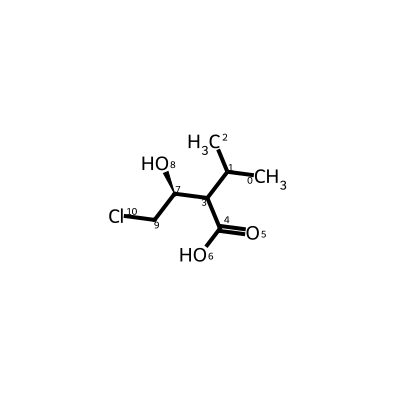 CC(C)C(C(=O)O)[C@H](O)CCl